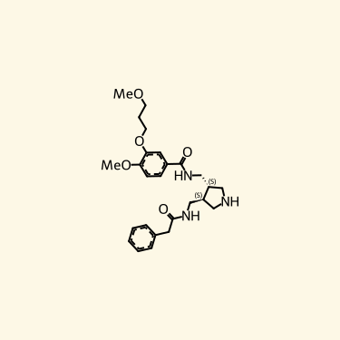 COCCCOc1cc(C(=O)NC[C@@H]2CNC[C@H]2CNC(=O)Cc2ccccc2)ccc1OC